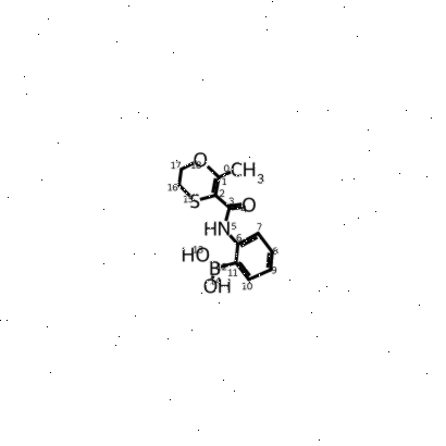 CC1=C(C(=O)Nc2ccccc2B(O)O)SCCO1